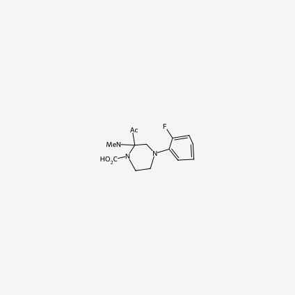 CNC1(C(C)=O)CN(c2ccccc2F)CCN1C(=O)O